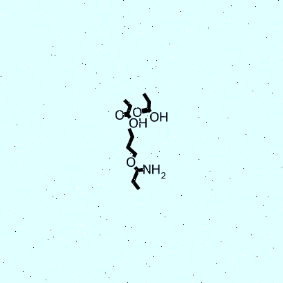 CCC(=O)O.CCC(=O)O.CCCCOC(N)CC